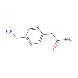 NCc1ccc(CC(N)=O)cn1